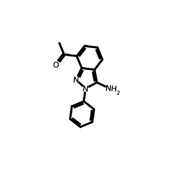 CC(=O)c1cccc2c(N)n(-c3ccccc3)nc12